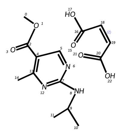 COC(=O)c1cnc(NC(C)C)nc1C.O=C(O)/C=C\C(=O)O